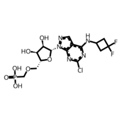 O=P(O)(O)COC[C@H]1O[C@@H](n2ncc3c(NC4CC(F)(F)C4)nc(Cl)nc32)[C@H](O)[C@@H]1O